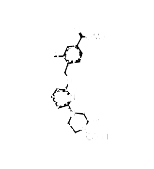 COC(=O)c1ccc(COc2cccc(N3CCN(C(=O)O)[C@@H](C)C3)n2)c(C)c1